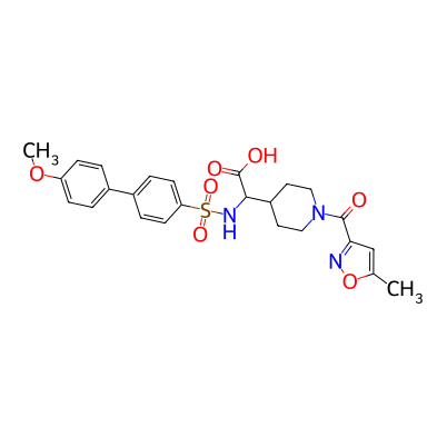 COc1ccc(-c2ccc(S(=O)(=O)NC(C(=O)O)C3CCN(C(=O)c4cc(C)on4)CC3)cc2)cc1